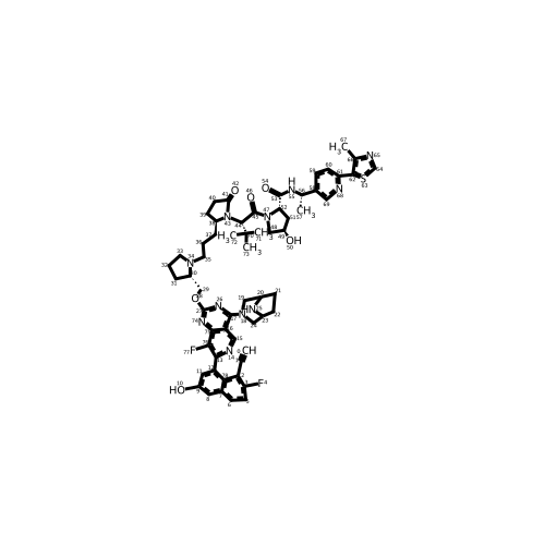 C#Cc1c(F)ccc2cc(O)cc(-c3ncc4c(N5CC6CCC(C5)N6)nc(OC[C@@H]5CCCN5CCC[C@H]5CCC(=O)N5[C@H](C(=O)N5C[C@H](O)C[C@H]5C(=O)N[C@@H](C)c5ccc(-c6scnc6C)nc5)C(C)(C)C)nc4c3F)c12